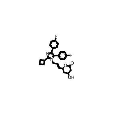 O=C1CC(O)CC(/C=C/Cn2c(C3CCC3)nc(-c3ccc(F)cc3)c2-c2ccc(F)cc2)O1